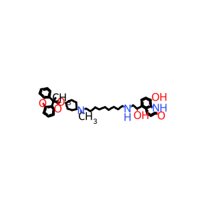 CN(CCCCCCCCCNC[C@H](O)c1ccc(O)c2[nH]c(=O)ccc12)[C@H]1CC[C@H](OC(=O)C2(C)c3ccccc3Oc3ccccc32)CC1